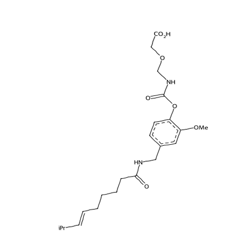 COc1cc(CNC(=O)CCCC/C=C/C(C)C)ccc1OC(=O)NCOCC(=O)O